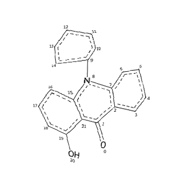 O=c1c2ccccc2n(-c2ccccc2)c2cccc(O)c12